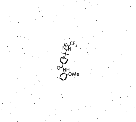 COc1ccccc1NC(=O)c1ccc(C(C)(C)c2noc(C(F)(F)F)n2)cc1